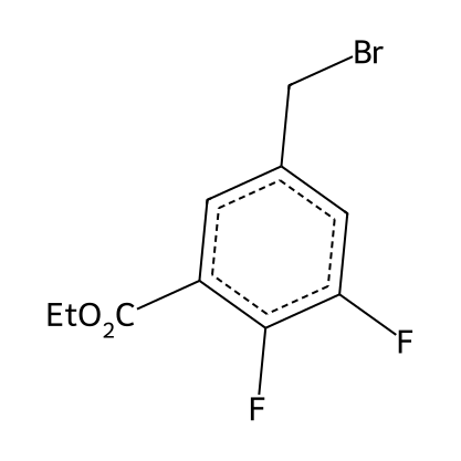 CCOC(=O)c1cc(CBr)cc(F)c1F